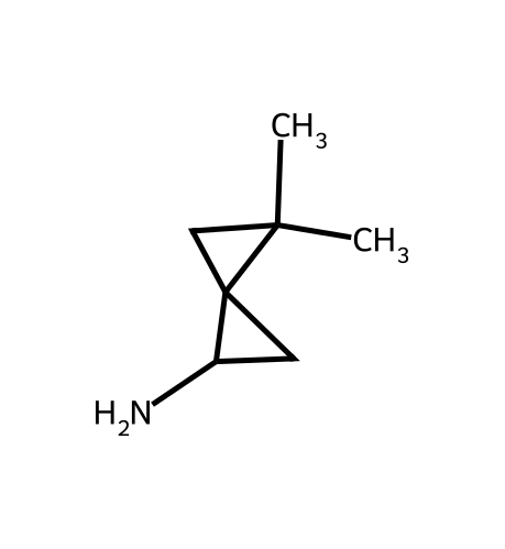 CC1(C)CC12CC2N